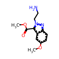 COC(=O)c1c2cc(OC)ccc2nn1CCN